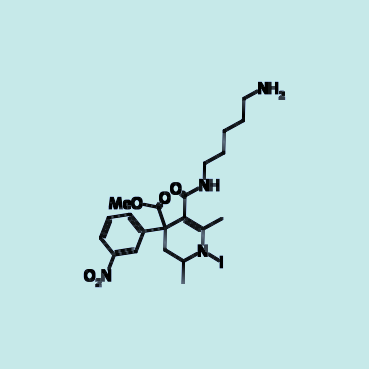 COC(=O)C1(c2cccc([N+](=O)[O-])c2)CC(C)N(I)C(C)=C1C(=O)NCCCCCN